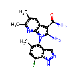 Cc1cc2c(C(N)=O)c(N)n(-c3c(C)cc(F)c4[nH]ncc34)c2nc1C